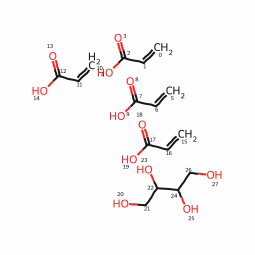 C=CC(=O)O.C=CC(=O)O.C=CC(=O)O.C=CC(=O)O.OCC(O)C(O)CO